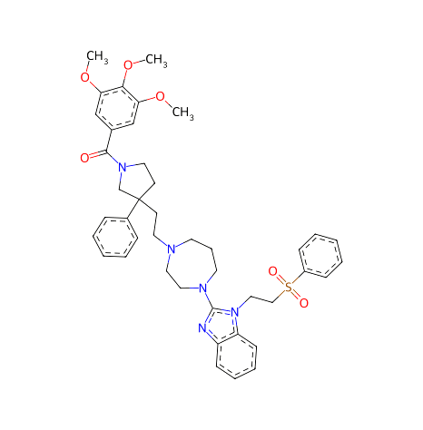 COc1cc(C(=O)N2CCC(CCN3CCCN(c4nc5ccccc5n4CCS(=O)(=O)c4ccccc4)CC3)(c3ccccc3)C2)cc(OC)c1OC